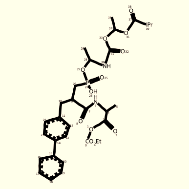 CCOC(=O)OC(=O)C(C)NC(=O)C(Cc1ccc(-c2ccccc2)cc1)CP(=O)(O)OC(C)NC(=O)OC(C)OC(=O)C(C)C